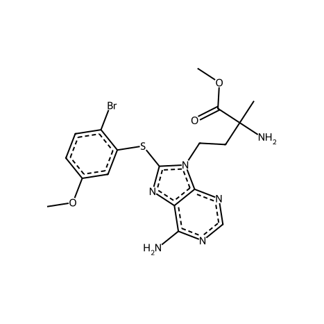 COC(=O)C(C)(N)CCn1c(Sc2cc(OC)ccc2Br)nc2c(N)ncnc21